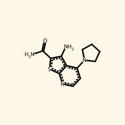 NC(=O)c1sc2nccc(N3CCCC3)c2c1N